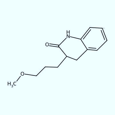 COCCCC1Cc2cc[c]cc2NC1=O